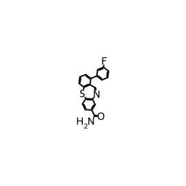 NC(=O)c1ccc2c(c1)N=Cc1c(cccc1-c1cccc(F)c1)S2